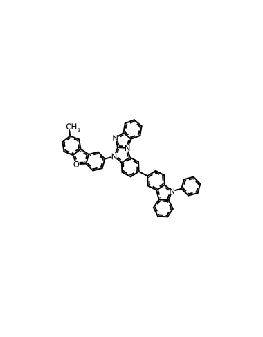 Cc1ccc2oc3ccc(-n4c5ccc(-c6ccc7c(c6)c6ccccc6n7-c6ccccc6)cc5n5c6ccccc6nc45)cc3c2c1